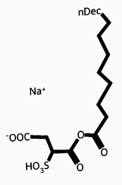 CCCCCCCCCCCCCCCCCC(=O)OC(=O)C(CC(=O)[O-])S(=O)(=O)O.[Na+]